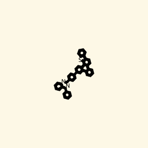 c1ccc(-c2nc(-c3ccc(-c4ccc5c(c4)c4ccccc4c4ccc6c7ccccc7sc6c45)cc3)nc3ccccc23)cc1